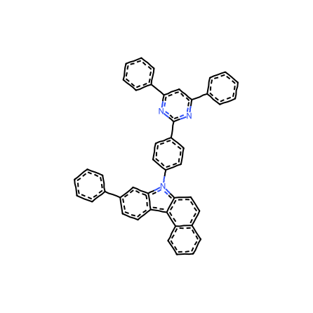 c1ccc(-c2ccc3c4c5ccccc5ccc4n(-c4ccc(-c5nc(-c6ccccc6)cc(-c6ccccc6)n5)cc4)c3c2)cc1